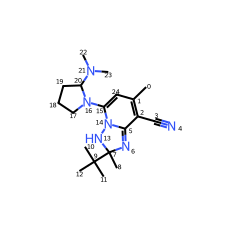 CC1=C(C#N)C2=NC(C)(C(C)(C)C)NN2C(N2CCCC2N(C)C)=C1